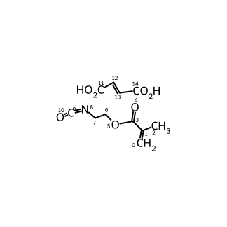 C=C(C)C(=O)OCCN=C=O.O=C(O)C=CC(=O)O